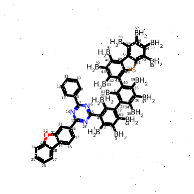 Bc1c(B)c(-c2nc(-c3ccccc3)nc(-c3ccc4c(c3)oc3ccccc34)n2)c(B)c(-c2c(B)c(B)c(B)c(-c3c(B)c(B)c(B)c4c3sc3c(B)c(B)c(B)c(B)c34)c2B)c1B